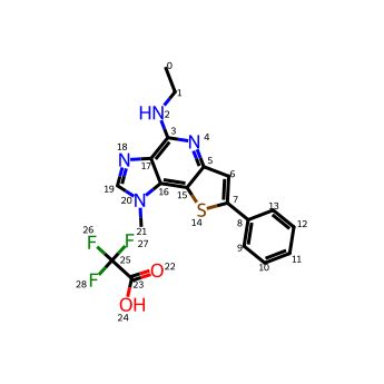 CCNc1nc2cc(-c3ccccc3)sc2c2c1ncn2C.O=C(O)C(F)(F)F